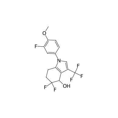 COc1ccc(-n2cc(C(F)(F)F)c3c2CCC(F)(F)C3O)cc1F